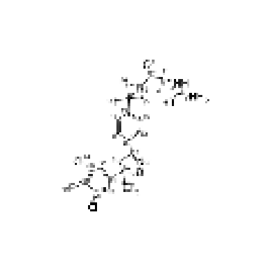 CC(C)(NC(N)=O)C(=O)N1CC(F)(c2ccc(C3=NOC(c4cc(Cl)c(F)c(Cl)c4)(C(F)(F)F)C3)cc2)C1